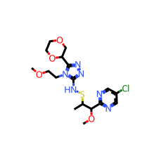 COCCn1c(NSC(C)C(OC)c2ncc(Cl)cn2)nnc1C1COCCO1